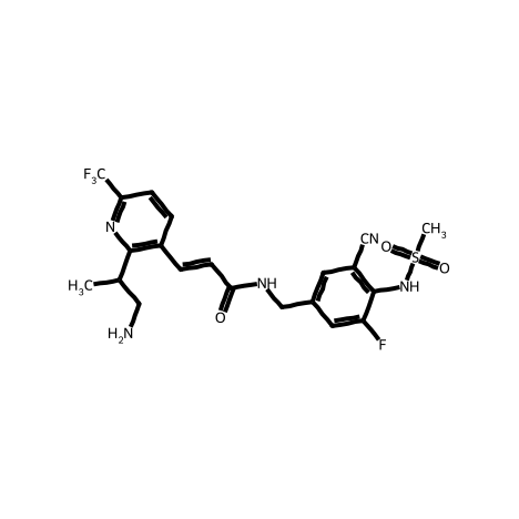 CC(CN)c1nc(C(F)(F)F)ccc1C=CC(=O)NCc1cc(F)c(NS(C)(=O)=O)c(C#N)c1